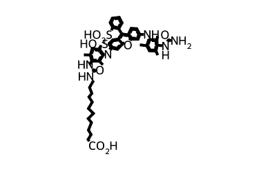 Cc1cc(C)c(NC(=O)NCCCCCCCCCCCCC(=O)O)c(C)c1/N=c1/cc2oc3cc(Nc4c(C)cc(C)c(NC(N)=O)c4C)ccc3c(-c3ccccc3S(=O)(=O)O)c-2cc1S(=O)(=O)O